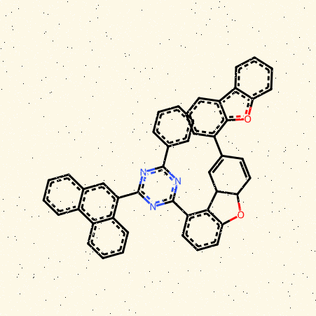 C1=CC2Oc3cccc(-c4nc(-c5ccccc5)nc(-c5cc6ccccc6c6ccccc56)n4)c3C2C=C1c1cccc2c1oc1ccccc12